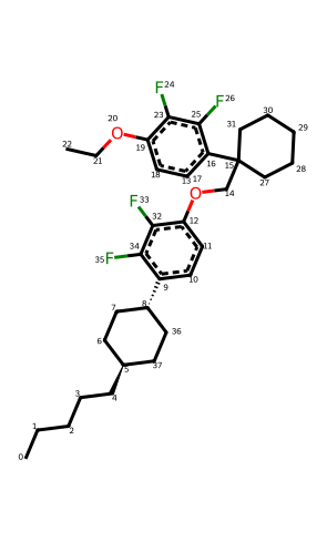 CCCCC[C@H]1CC[C@H](c2ccc(OCC3(c4ccc(OCC)c(F)c4F)CCCCC3)c(F)c2F)CC1